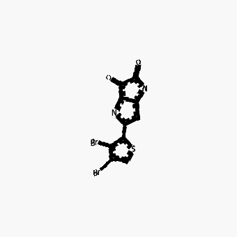 O=c1nc2cc(-c3scc(Br)c3Br)nc-2c1=O